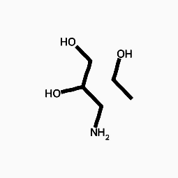 CCO.NCC(O)CO